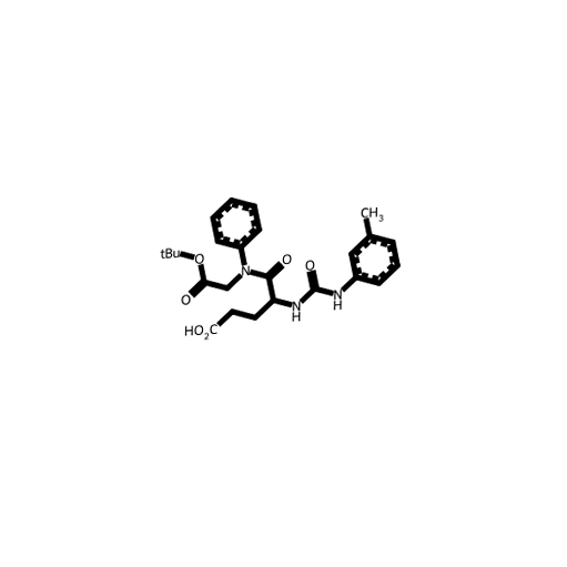 Cc1cccc(NC(=O)NC(CCC(=O)O)C(=O)N(CC(=O)OC(C)(C)C)c2ccccc2)c1